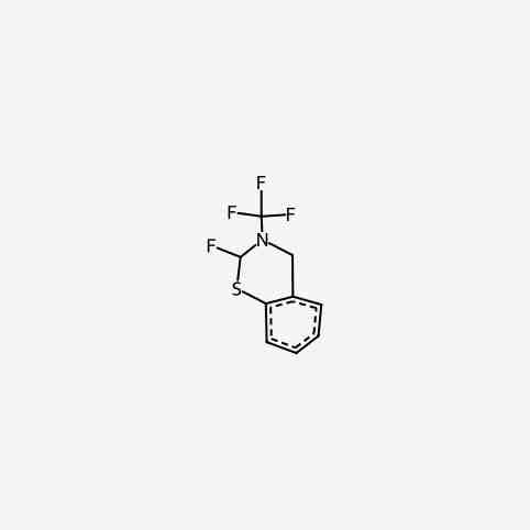 FC1Sc2ccccc2CN1C(F)(F)F